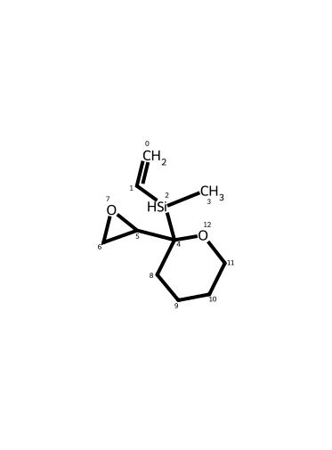 C=C[SiH](C)C1(C2CO2)CCCCO1